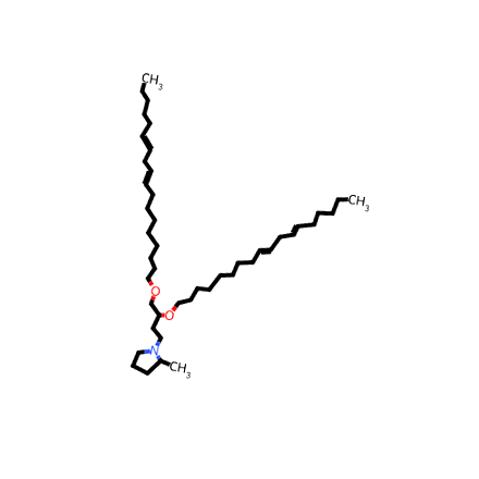 CCCCCC=CCC=CCCCCCCCCOCC(CCN1CCCC1C)OCCCCCCCCC=CCC=CCCCCC